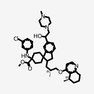 COC(=O)C1(Nc2cccc(Cl)c2)CCC2(CC1)c1cc(C(O)CN3CCN(C)CC3)ccc1CC2C[C@@H](C)COc1ccnc2c1[C@H](C)CCC2